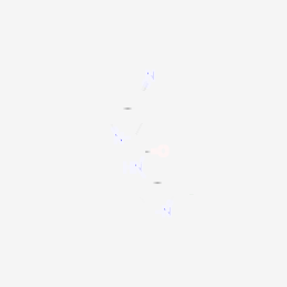 Cc1cc(C#N)cc(C(=O)Nc2ccnc(F)c2)n1